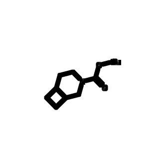 CC(C)(C)OC(=O)N1CCC2CCC2C1